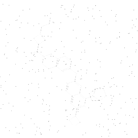 O=C(C1CN(CCO)C1)N1CCc2nc(Nc3ncc4cc(C5COC5)nc(N5C6CCC5CC6)c4n3)ccc2C1